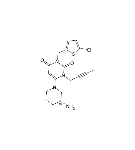 CC#CCn1c(N2CCC[C@@H](N)C2)cc(=O)n(Cc2ccc(Cl)s2)c1=O